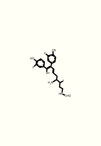 N#Cc1ccc(C(/C=C/CC(N)C(F)CCNC=O)=C(/S)c2ccc(O)c(F)c2)cc1F